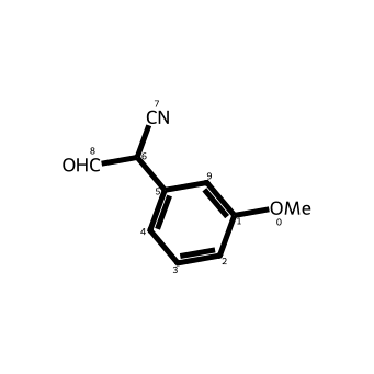 COc1cccc(C(C#N)C=O)c1